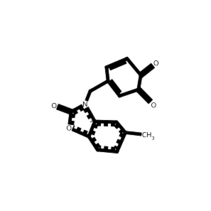 Cc1ccc2oc(=O)n(CC3=CC(=O)C(=O)C=C3)c2c1